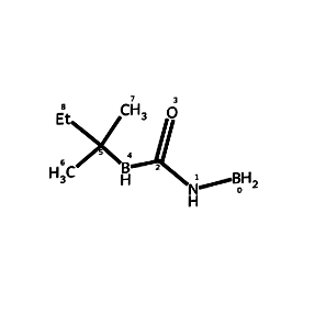 BNC(=O)BC(C)(C)CC